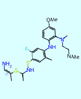 CNCCN(C)c1cc(OC)ccc1Nc1cc(F)c(SNC(C)S/C(C)=C\N)cc1C